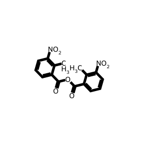 Cc1c(C(=O)OC(=O)c2cccc([N+](=O)[O-])c2C)cccc1[N+](=O)[O-]